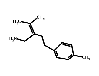 CC(C)=C(CN)CCc1ccc(C)cc1